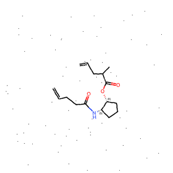 C=CCCC(=O)N[C@H]1CCC[C@H]1OC(=O)C(C)CC=C